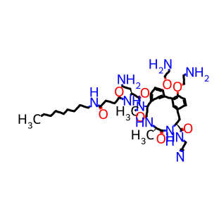 CCCCCCCCCNC(=O)CCC(=O)N[C@@H](CCN)C(=O)N(C)[C@@H]1C(=O)N[C@@H](C)C(=O)N[C@H](C(=O)NCC#N)Cc2ccc(OCCN)c(c2)-c2cc1ccc2OCCN